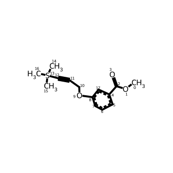 COC(=O)c1cccc(OCC#CS(C)(C)C)c1